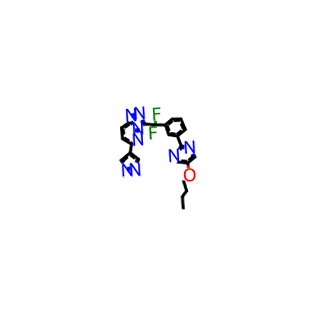 CCCCOc1cnc(-c2cccc(C(F)(F)c3nnc4ccc(-c5cnn(C)c5)nn34)c2)nc1